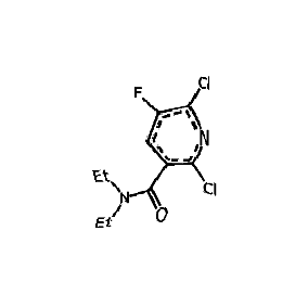 CCN(CC)C(=O)c1cc(F)c(Cl)nc1Cl